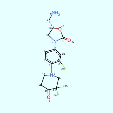 NC[C@H]1CN(c2ccc(N3CCC(=O)C(F)(F)C3)c(F)c2)C(=O)O1